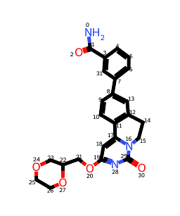 NC(=O)c1cccc(-c2ccc3c(c2)CCn2c-3cc(OCC3COCCO3)nc2=O)c1